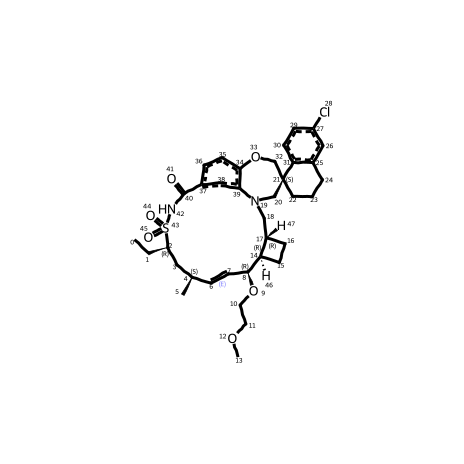 CC[C@@H]1C[C@H](C)/C=C/[C@H](OCCOC)[C@@H]2CC[C@H]2CN2C[C@@]3(CCCc4cc(Cl)ccc43)COc3ccc(cc32)C(=O)NS1(=O)=O